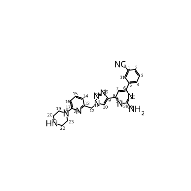 N#Cc1cccc(-c2cc(-c3cn(Cc4cccc(N5CCNCC5)n4)nn3)nc(N)n2)c1